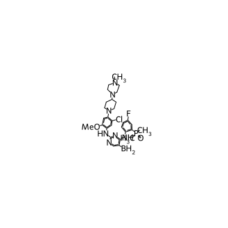 Bc1cnc(Nc2cc(Cl)c(N3CCC(N4CCN(C)CC4)CC3)cc2OC)nc1Nc1ccc(F)cc1P(C)(C)=O